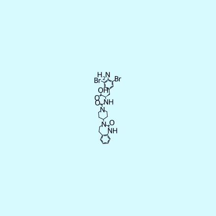 Nc1c(Br)cc(C[C@@H](NC(=O)N2CCC(N3CCc4ccccc4NC3=O)CC2)C(=O)O)cc1Br